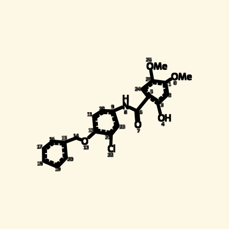 COc1cc(O)c(C(=O)Nc2ccc(OCc3ccccc3)c(Cl)c2)cc1OC